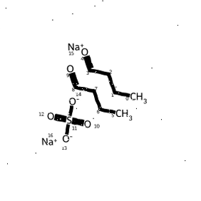 CCCC=O.CCCC=O.O=S(=O)([O-])[O-].[Na+].[Na+]